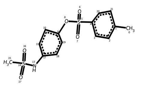 Cc1ccc(S(=O)(=O)Oc2ccc(NS(C)(=O)=O)cc2)cc1